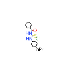 CCCc1ccc(NC(=S)NC(=O)c2ccccc2)c(Cl)c1